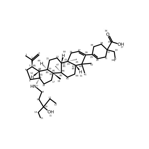 C=C(C)[C@@H]1CC[C@]2(NCCC(O)(CC)CC)CC[C@]3(C)[C@H](CC[C@@H]4[C@@]5(C)CC=C(C6=CCC(CF)(C(=O)O)CC6)C(C)(C)[C@@H]5CC[C@]43C)[C@@H]12